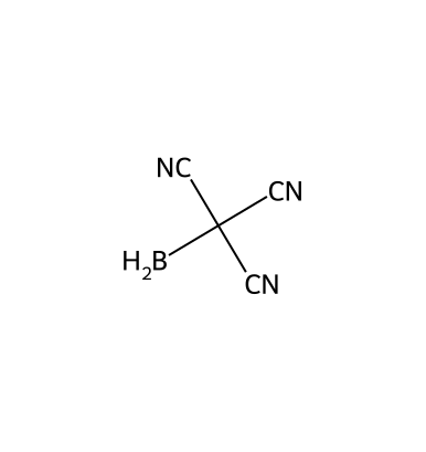 BC(C#N)(C#N)C#N